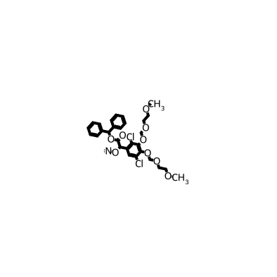 COCCOCOc1c(Cl)cc(C(O[N])C(=O)OC(c2ccccc2)c2ccccc2)c(Cl)c1OCOCCOC